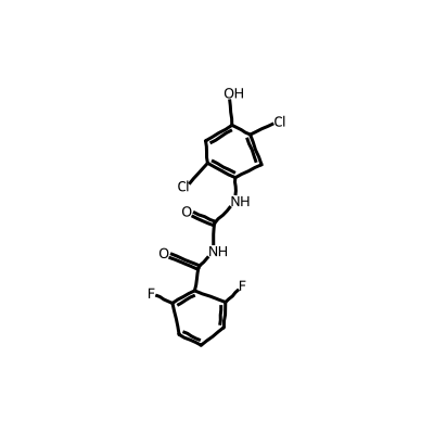 O=C(NC(=O)c1c(F)cccc1F)Nc1cc(Cl)c(O)cc1Cl